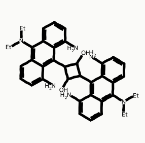 CCN(CC)c1c2cccc(N)c2c(C2C(O)C(c3c4c(N)cccc4c(N(CC)CC)c4cccc(N)c34)C2O)c2c(N)cccc12